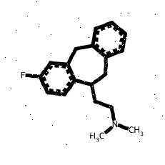 CN(C)CCC1Cc2ccccc2Cc2cc(F)ccc21